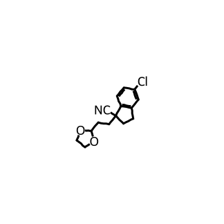 N#CC1(CCC2OCCO2)CCc2cc(Cl)ccc21